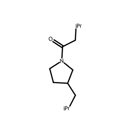 CC(C)CC(=O)N1CCC(CC(C)C)C1